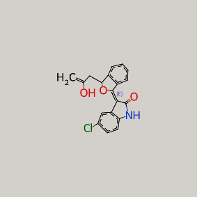 C=C(O)CC1O/C(=C2/C(=O)Nc3ccc(Cl)cc32)c2ccccc21